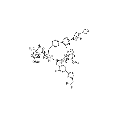 COC(=O)N[C@H](C(=O)NC1Cc2ccc(cc2)-c2cnc(N3C[C@H]4C3CN4C3COC3)nc2CC(C)(C(F)(F)F)[C@H](NC(=O)OC)C(=O)NN(Cc2c(F)cc(-c3ccn(CC(F)F)n3)cc2F)C[C@@H]1O)C(C)(C)C(F)(F)F